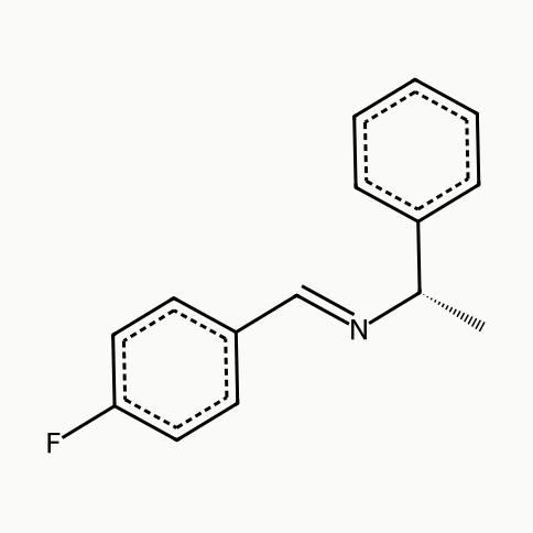 C[C@H](N=Cc1ccc(F)cc1)c1ccccc1